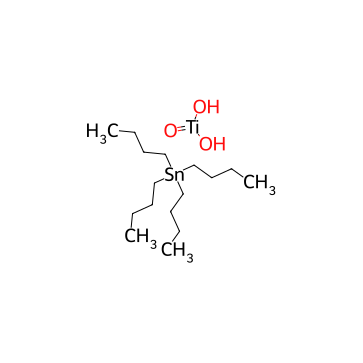 CCC[CH2][Sn]([CH2]CCC)([CH2]CCC)[CH2]CCC.[O]=[Ti]([OH])[OH]